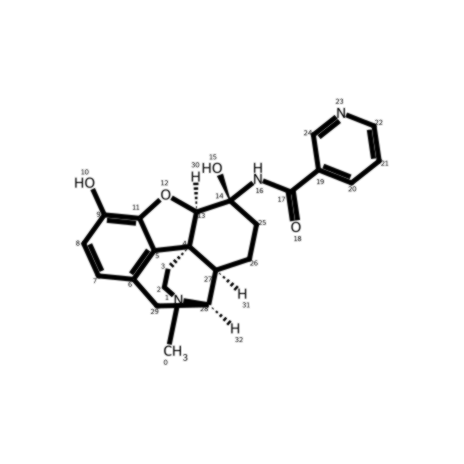 CN1CC[C@]23c4c5ccc(O)c4O[C@H]2[C@](O)(NC(=O)c2cccnc2)CC[C@H]3[C@H]1C5